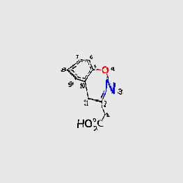 O=C(O)CC1=NOc2ccccc2C1